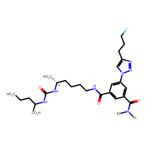 CCN(CC)C(=O)c1cc(C(=O)NCCCC[C@H](NC(=O)NC(CCC(=O)O)C(=O)O)C(=O)O)cc(-n2cc(CCCF)nn2)c1